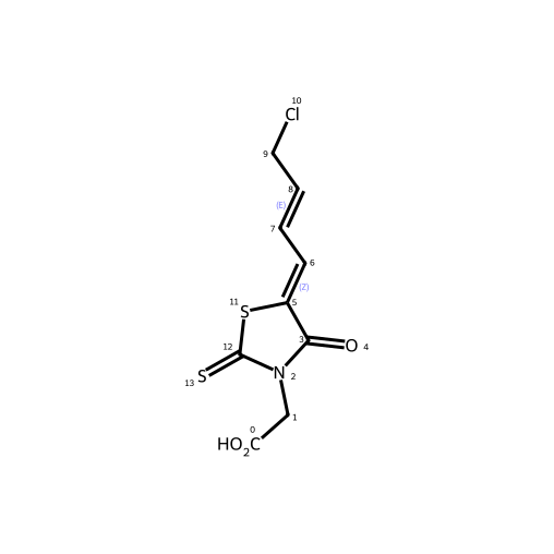 O=C(O)CN1C(=O)/C(=C/C=C/CCl)SC1=S